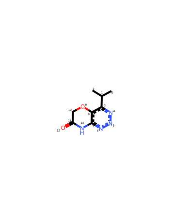 CC(C)c1nnnc2c1OCC(=O)N2